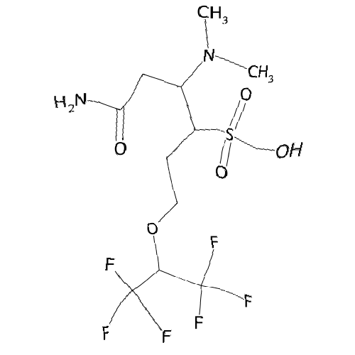 CN(C)C(CC(N)=O)C(CCOC(C(F)(F)F)C(F)(F)F)S(=O)(=O)O